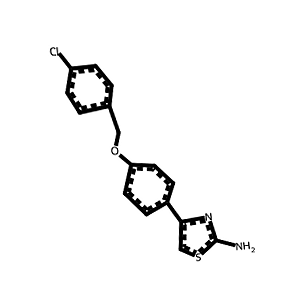 Nc1nc(-c2ccc(OCc3ccc(Cl)cc3)cc2)cs1